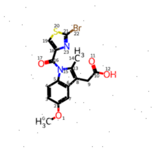 COc1ccc2c(c1)c(CC(=O)O)c(C)n2C(=O)c1csc(Br)n1